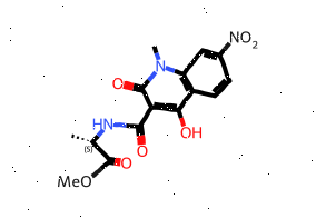 COC(=O)[C@H](C)NC(=O)c1c(O)c2ccc([N+](=O)[O-])cc2n(C)c1=O